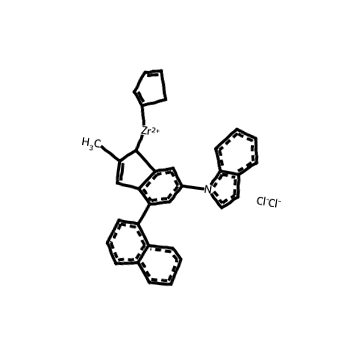 CC1=Cc2c(-c3cccc4ccccc34)cc(-n3ccc4ccccc43)cc2[CH]1[Zr+2][C]1=CC=CC1.[Cl-].[Cl-]